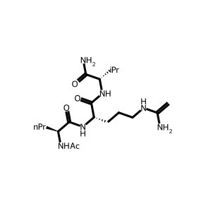 C=C(N)NCCC[C@H](NC(=O)[C@H](CCC)NC(C)=O)C(=O)N[C@H](C(N)=O)C(C)C